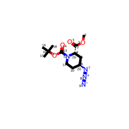 COC(=O)[C@@H]1C[C@@H](N=[N+]=[N-])CCN1C(=O)OC(C)(C)C